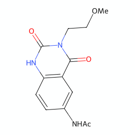 COCCn1c(=O)[nH]c2ccc(NC(C)=O)cc2c1=O